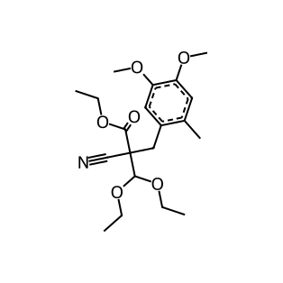 CCOC(=O)C(C#N)(Cc1cc(OC)c(OC)cc1C)C(OCC)OCC